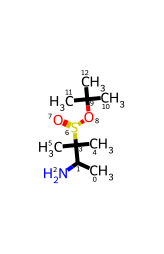 CC(N)C(C)(C)S(=O)OC(C)(C)C